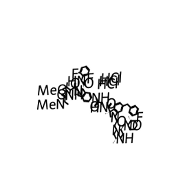 CNC(C)C(=O)NC(C(=O)N1Cc2ccc(NC(=O)CNC(=O)[C@]3(C)CN(C(=O)CN4C[C@@H](C)NC[C@@H]4CN4CCOC[C@H]4C)c4cc(Cc5ccc(F)cc5)ccc43)cc2[C@H]1C(=O)Nc1c(F)cccc1F)C(C)OC.Cl.Cl.Cl